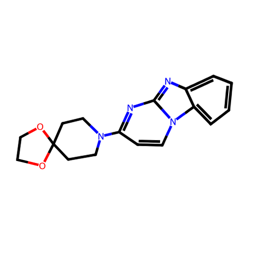 c1ccc2c(c1)nc1nc(N3CCC4(CC3)OCCO4)ccn12